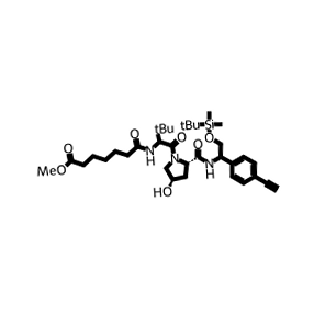 C#Cc1ccc(C(CO[Si](C)(C)C(C)(C)C)NC(=O)[C@@H]2C[C@@H](O)CN2C(=O)C(NC(=O)CCCCCC(=O)OC)C(C)(C)C)cc1